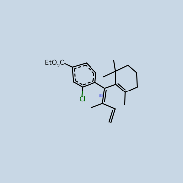 C=C/C(C)=C(\C1=C(C)CCCC1(C)C)c1ccc(C(=O)OCC)cc1Cl